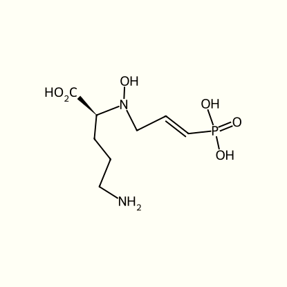 NCCC[C@@H](C(=O)O)N(O)CC=CP(=O)(O)O